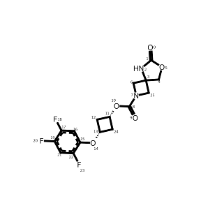 O=C1NC2(CO1)CN(C(=O)O[C@H]1C[C@@H](Oc3cc(F)c(F)cc3F)C1)C2